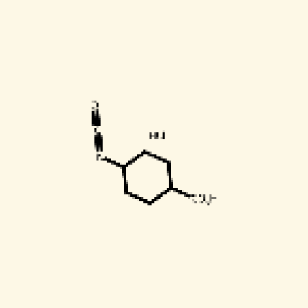 Cl.O=C=NC1CCC(C(=O)O)CC1